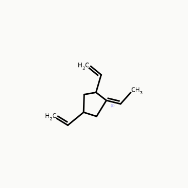 C=CC1C/C(=C/C)C(C=C)C1